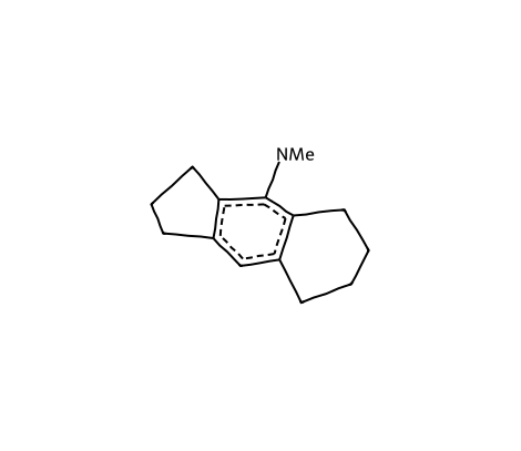 CNc1c2c(cc3c1CCC3)CCCC2